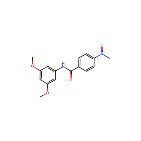 COc1cc(NC(=O)c2ccc([N+](C)=O)cc2)cc(OC)c1